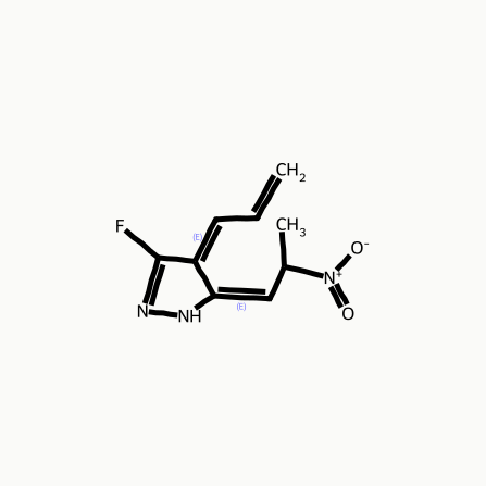 C=C/C=c1/c(F)n[nH]/c1=C/C(C)[N+](=O)[O-]